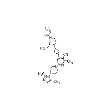 C=CC(=O)N1CCN(C2CN(c3cc(N4CCC(c5c(C)cnn5C)CC4)nc(C(F)(F)F)c3C#N)C2)[C@@H](CO)C1